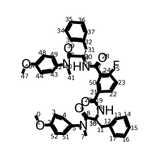 COc1ccc(N(C)C(=O)[C@H](Cc2ccccc2)NC(=O)c2ccc(F)c(C(=O)N[C@@H](Cc3ccccc3)C(=O)N(C)c3ccc(OC)cc3)c2)cc1